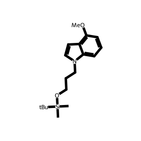 COc1cccc2c1ccn2CCCO[Si](C)(C)C(C)(C)C